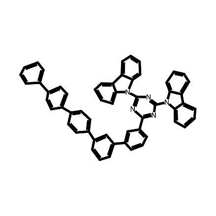 c1ccc(-c2ccc(-c3ccc(-c4cccc(-c5cccc(-c6nc(-n7c8ccccc8c8ccccc87)nc(-n7c8ccccc8c8ccccc87)n6)c5)c4)cc3)cc2)cc1